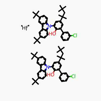 CC(C)(C)CC(C)(C)c1cc(-c2cccc(Cl)c2)c(O)c(-n2c3ccc(C(C)(C)C)cc3c3cc(C(C)(C)C)ccc32)c1.CC(C)(C)CC(C)(C)c1cc(-c2cccc(Cl)c2)c(O)c(-n2c3ccc(C(C)(C)C)cc3c3cc(C(C)(C)C)ccc32)c1.[CH3][Hf][CH3]